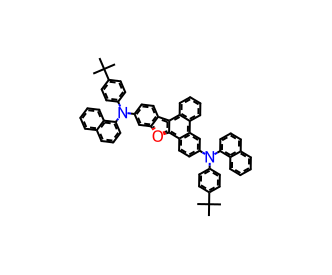 CC(C)(C)c1ccc(N(c2ccc3c(c2)oc2c4ccc(N(c5ccc(C(C)(C)C)cc5)c5cccc6ccccc56)cc4c4ccccc4c32)c2cccc3ccccc23)cc1